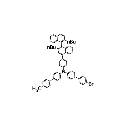 CCCCc1ccc2ccccc2c1-c1c(CCCC)cc(-c2ccc(N(c3ccc(-c4ccc(C)cc4)cc3)c3ccc(-c4ccc(Br)cc4)cc3)cc2)c2ccccc12